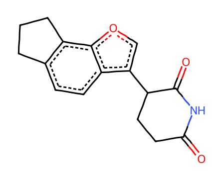 O=C1CCC(c2coc3c4c(ccc23)CCC4)C(=O)N1